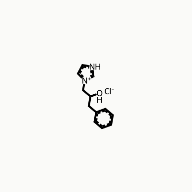 OC(Cc1ccccc1)C[n+]1cc[nH]c1.[Cl-]